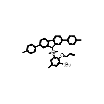 C=CCOc1c(C(C)(C)C)cc(C)cc1[Si](C)(C)C1c2cc(-c3ccc(C)cc3)ccc2-c2ccc(-c3ccc(C)cc3)cc21